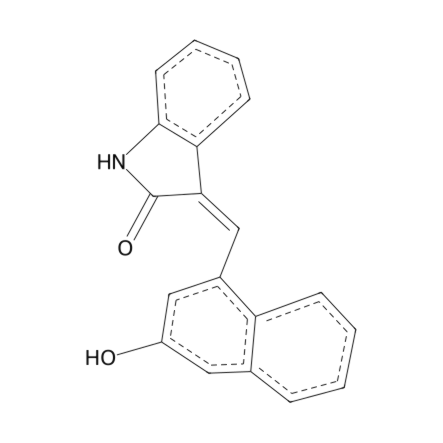 O=C1Nc2ccccc2/C1=C/c1cc(O)cc2ccccc12